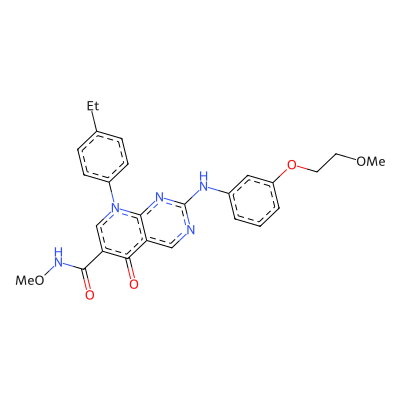 CCc1ccc(-n2cc(C(=O)NOC)c(=O)c3cnc(Nc4cccc(OCCOC)c4)nc32)cc1